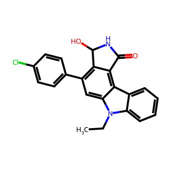 CCn1c2ccccc2c2c3c(c(-c4ccc(Cl)cc4)cc21)C(O)NC3=O